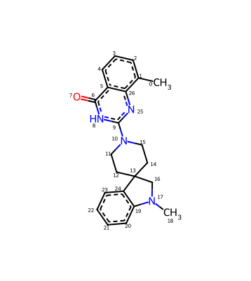 Cc1cccc2c(=O)[nH]c(N3CCC4(CC3)CN(C)c3ccccc34)nc12